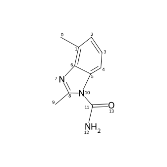 Cc1cccc2c1nc(C)n2C(N)=O